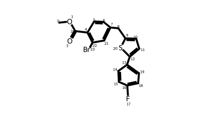 COC(=O)c1ccc(Cc2ccc(-c3ccc(F)cc3)s2)cc1Br